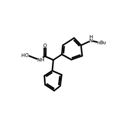 CCCCNc1ccc(C(C(=O)NO)c2ccccc2)cc1